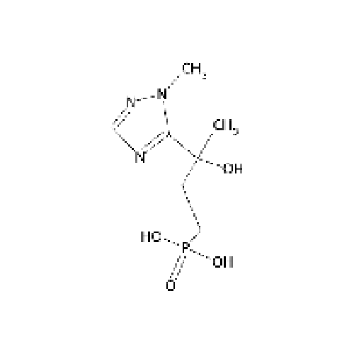 Cn1ncnc1C(C)(O)CCP(=O)(O)O